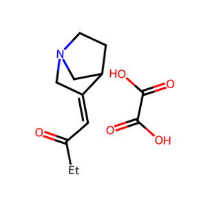 CCC(=O)C=C1CN2CCC1C2.O=C(O)C(=O)O